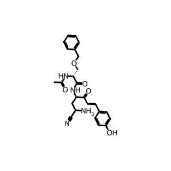 CC(=O)N[C@H](COCc1ccccc1)C(=O)NC(CC(N)C#N)C(=O)/C=C/c1ccc(O)cc1